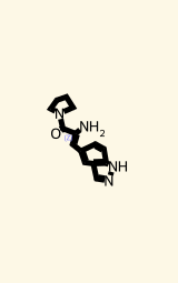 N/C(=C\c1ccc2[nH]ncc2c1)C(=O)N1CCCC1